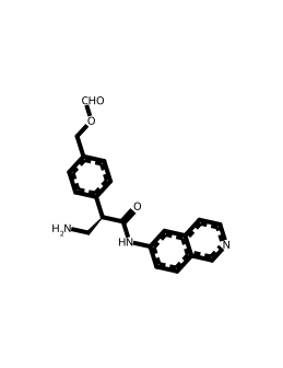 NC[C@H](C(=O)Nc1ccc2cnccc2c1)c1ccc(COC=O)cc1